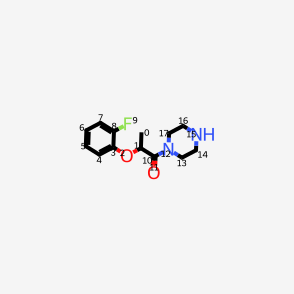 CC(Oc1ccccc1F)C(=O)N1CCNCC1